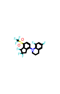 O=S(=O)(c1ccc(N2CCCc3cc(F)cc(F)c32)c2c1C(F)C(F)(F)C2)C(F)(F)F